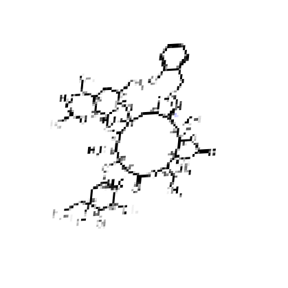 CC[C@H]1OC(=O)[C@H](C)[C@@H](O[C@H]2C[C@@](C)(OC)[C@@H](O)[C@H](C)O2)[C@H](C)[C@@H](O[C@@H]2O[C@H](C)C[C@H](N(C)C)[C@H]2OC(C)=O)[C@](C)(OC)C[C@@H](C)/C(=N\OCc2ccccc2Cl)[C@H](C)[C@H]2OC(=O)O[C@@]21C